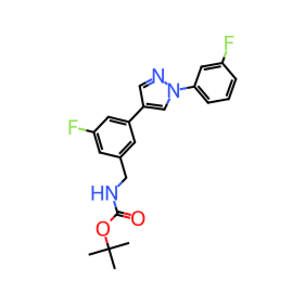 CC(C)(C)OC(=O)NCc1cc(F)cc(-c2cnn(-c3cccc(F)c3)c2)c1